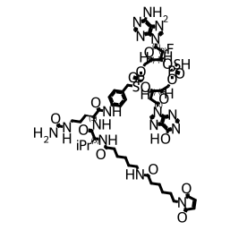 CC(C)[C@H](NC(=O)CCCCCNC(=O)CCCCCN1C(=O)C=CC1=O)C(=O)N[C@@H](CCCNC(N)=O)C(=O)Nc1ccc(CSP2(=O)OC[C@H]3O[C@@H](n4cnc5c(N)ncnc54)[C@H](F)[C@@H]3OP(=O)(S)OC[C@H]3O[C@@H](n4cnc5c(O)ncnc54)C[C@@H]3O2)cc1